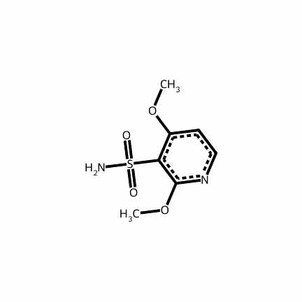 COc1ccnc(OC)c1S(N)(=O)=O